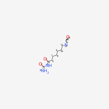 NC(=O)NC(=O)CCCCCCN=C=O